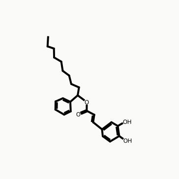 CCCCCCCCCC(OC(=O)C=Cc1ccc(O)c(O)c1)c1ccccc1